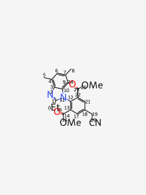 CCc1nc2c(C)cc(C)cc2n1-c1c(C(=O)OC)cc(CC#N)cc1C(=O)OC